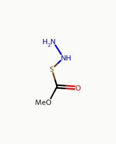 COC(=O)SNN